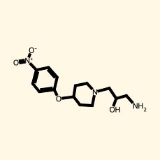 NCC(O)CN1CCC(Oc2ccc([N+](=O)[O-])cc2)CC1